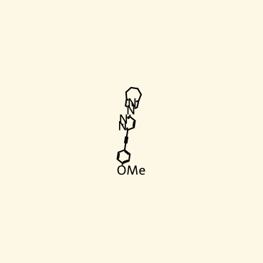 COc1ccc(C#Cc2ccc(N3CC4CCCCC(C3)N4C)nn2)cc1